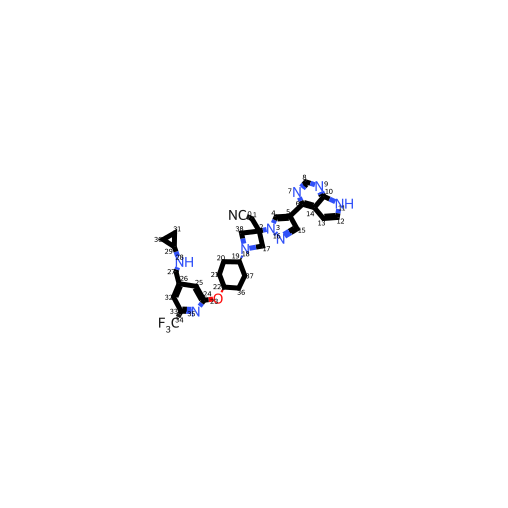 N#CCC1(n2cc(-c3ncnc4[nH]ccc34)cn2)CN([C@H]2CC[C@@H](Oc3cc(CNC4CC4)cc(C(F)(F)F)n3)CC2)C1